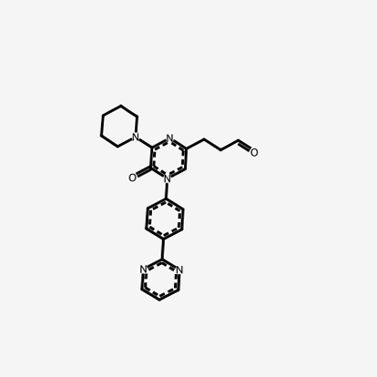 O=CCCc1cn(-c2ccc(-c3ncccn3)cc2)c(=O)c(N2CCCCC2)n1